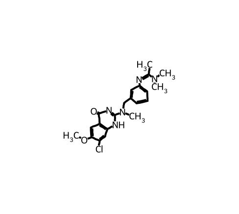 COc1cc2c(=O)nc(N(C)Cc3cccc(N=C(C)N(C)C)c3)[nH]c2cc1Cl